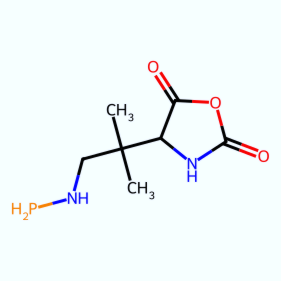 CC(C)(CNP)C1NC(=O)OC1=O